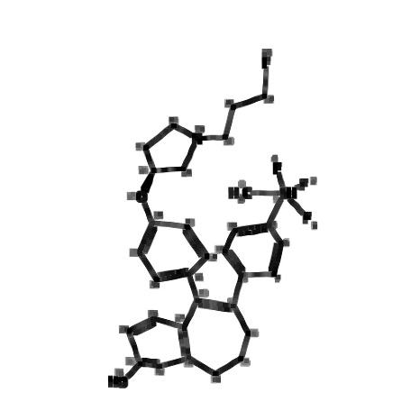 C[SH](F)(F)(F)c1ccc(C2=C(c3ccc(O[C@H]4CCN(CCCF)C4)cc3)c3ccc(O)cc3CCC2)cc1